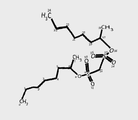 CCCCCCC(C)OS(=O)(=O)CS(=O)(=O)OC(C)CCCCCC